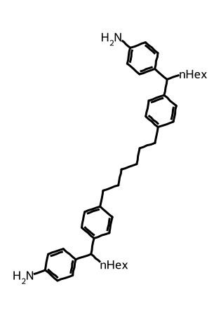 CCCCCCC(c1ccc(N)cc1)c1ccc(CCCCCCc2ccc(C(CCCCCC)c3ccc(N)cc3)cc2)cc1